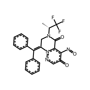 C[C@@H](N1CC(=C(c2ccccc2)c2ccccc2)n2ncc(=O)c(N=O)c2C1=O)C(F)(F)F